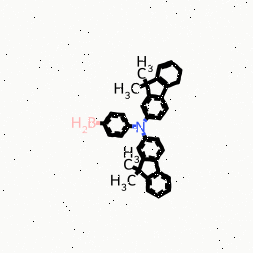 Bc1ccc(N(c2ccc3c(c2)C(C)(C)C2=C3CCC=C2)c2ccc3c(c2)C(C)(C)c2ccccc2-3)cc1